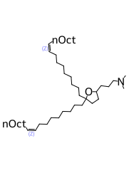 CCCCCCCC/C=C\CCCCCCCCC1(CCCCCCCC/C=C\CCCCCCCC)CCC(CCCN(C)C)O1